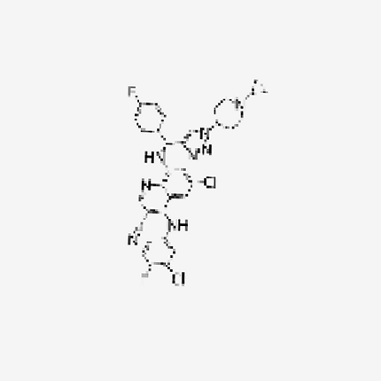 N#Cc1cnc2c(N[C@@H](c3ccc(F)cc3)c3cn(C4CCN(C5CC5)CC4)nn3)cc(Cl)cc2c1Nc1ccc(F)c(Cl)c1